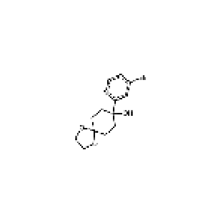 OC1(c2cc(Br)ccn2)CCC2(CC1)OCCO2